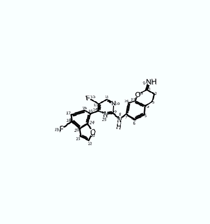 N=C1CCc2ccc(Nc3ncc(F)c(-c4ccc(F)c5ccoc45)n3)cc2O1